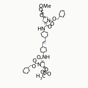 COOSO[C@@H]1C[C@@H](C(=O)Nc2ccc(/C=C/c3ccc(NC(=O)[C@@H]4C[C@@H](OS(C)(=O)=O)CN4C(=O)OCc4ccccc4)cc3)cc2)N(C(=O)OCc2ccccc2)C1